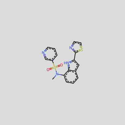 CN(c1cccc2cc(-c3nccs3)[nH]c12)S(=O)(=O)c1cccnc1